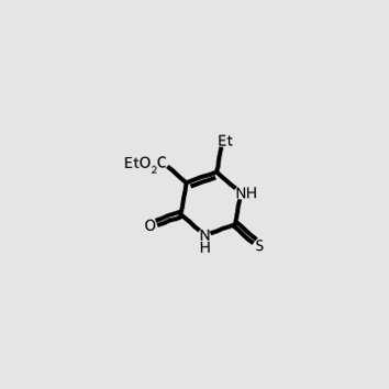 CCOC(=O)c1c(CC)[nH]c(=S)[nH]c1=O